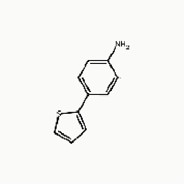 Nc1[c]cc(-c2cccs2)cc1